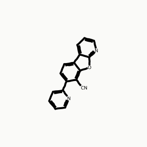 N#Cc1c(-c2ccccn2)ccc2c1oc1ncccc12